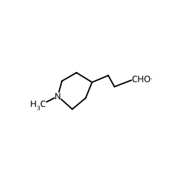 CN1CCC(CC[C]=O)CC1